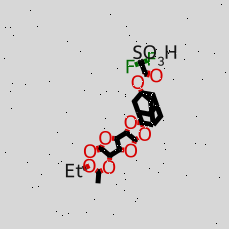 CCOC(C)OC1C(=O)OC2C3OC4(OC3OC12)C1CC2CC4CC(OC(=O)C(F)(F)S(=O)(=O)O)(C2)C1